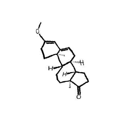 COC1=CC2=CC[C@@H]3[C@H](CC[C@]4(C)C(=O)CC[C@@H]34)[C@@]2(C)CC1